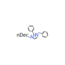 CCCCCCCCCCC[n+]1ccn(Cc2ccccc2)c1-c1ccccc1